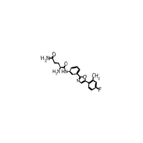 Cc1cc(F)ccc1-c1cnc(-c2cccc(NC(=O)C(N)CCC(N)=O)c2)o1